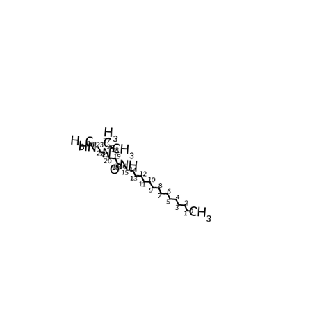 CCCCCCCCCCCCCCCCNC(=O)CCN(CCNC)C(C)C